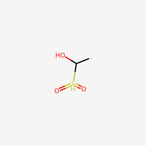 [CH2]C(O)[SH](=O)=O